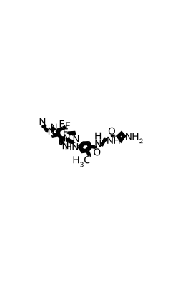 CCc1cc(Nc2nccn3c(-c4cn(CC#N)nc4C(F)(F)F)cnc23)ccc1C(=O)NCCNC(=O)[C@H]1C[C@H](N)C1